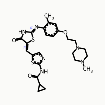 Cc1cc(OCCN2CCN(C)CC2)ccc1/N=C1/NC(=O)/C(=C/c2cnc(NC(=O)C3CC3)s2)S1